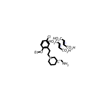 CCOc1ccc(Cl)cc1CCN1CCC[C@@H](CN)C1.O=C(O)/C=C/C(=O)O.O=C(O)/C=C/C(=O)O